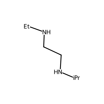 CCNCCNC(C)C